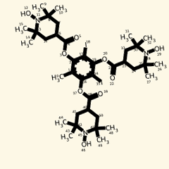 Cc1c(OC(=O)C2CC(C)(C)N(O)C(C)(C)C2)c(I)c(OC(=O)C2CC(C)(C)N(O)C(C)(C)C2)c(I)c1OC(=O)C1CC(C)(C)N(O)C(C)(C)C1